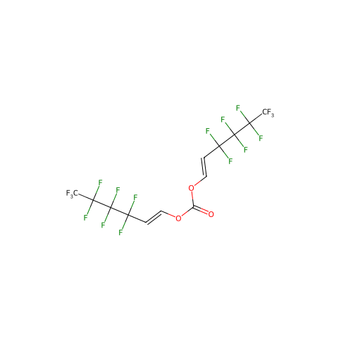 O=C(OC=CC(F)(F)C(F)(F)C(F)(F)C(F)(F)F)OC=CC(F)(F)C(F)(F)C(F)(F)C(F)(F)F